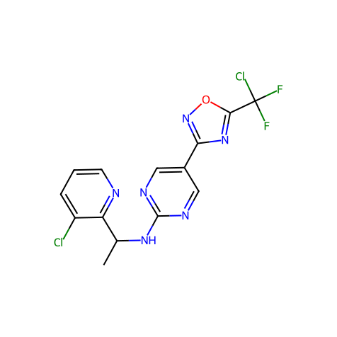 CC(Nc1ncc(-c2noc(C(F)(F)Cl)n2)cn1)c1ncccc1Cl